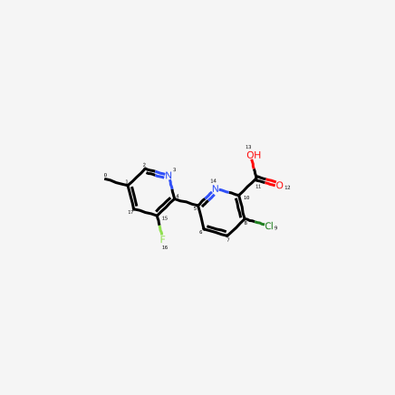 Cc1cnc(-c2ccc(Cl)c(C(=O)O)n2)c(F)c1